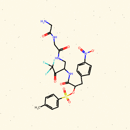 Cc1ccc(S(=O)(=O)OC(Cc2ccc([N+](=O)[O-])cc2)C(=O)NC(CNC(=O)CNC(=O)CN)C(=O)C(F)(F)F)cc1